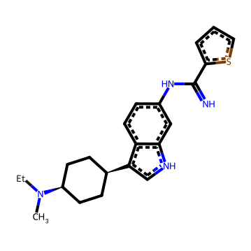 CCN(C)[C@H]1CC[C@@H](c2c[nH]c3cc(NC(=N)c4cccs4)ccc32)CC1